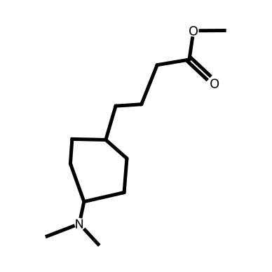 COC(=O)CCCC1CCC(N(C)C)CC1